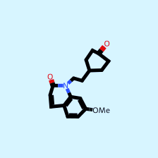 COc1ccc2ccc(=O)n(CCC3CCC(=O)CC3)c2c1